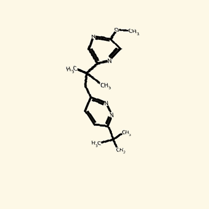 COc1cnc(C(C)(C)Cc2ccc(C(C)(C)C)nn2)cn1